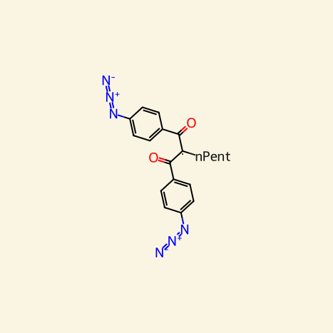 [CH2]CCCC[C](C(=O)c1ccc(N=[N+]=[N-])cc1)C(=O)c1ccc(N=[N+]=[N-])cc1